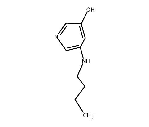 [CH2]CCCNc1cncc(O)c1